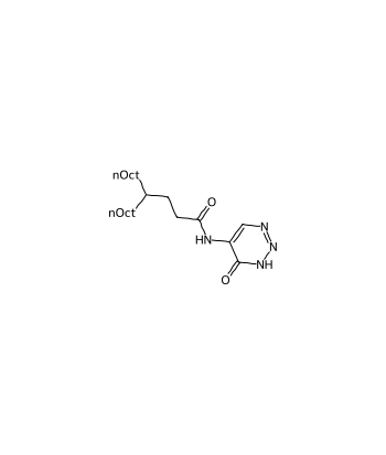 CCCCCCCCC(CCCCCCCC)CCC(=O)Nc1cnn[nH]c1=O